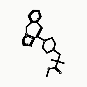 COC(=O)C(C)(C)CN1CCN(C2=Cc3ccccc3Cn3ccnc32)CC1